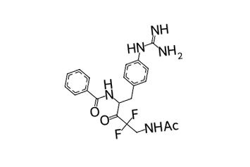 CC(=O)NCC(F)(F)C(=O)C(Cc1ccc(NC(=N)N)cc1)NC(=O)c1ccccc1